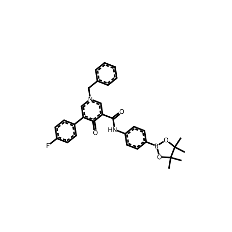 CC1(C)OB(c2ccc(NC(=O)c3cn(Cc4ccccc4)cc(-c4ccc(F)cc4)c3=O)cc2)OC1(C)C